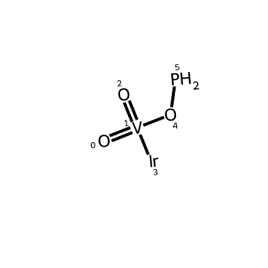 [O]=[V](=[O])([Ir])[O]P